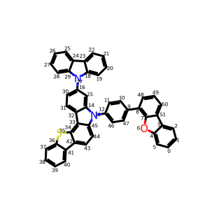 c1ccc2c(c1)oc1c(-c3ccc(-n4c5cc(-n6c7ccccc7c7ccccc76)ccc5c5c6sc7ccccc7c6ccc54)cc3)cccc12